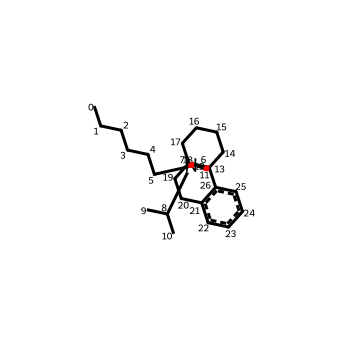 CCCCCCC1N(C(C)C)CCC23CCCCC12CCc1ccccc13